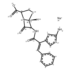 Nc1nc(C(=Cc2ccccc2)C(=O)NC2C(=O)N3C(C(=O)[O-])CS[C@H]23)cs1.[Na+]